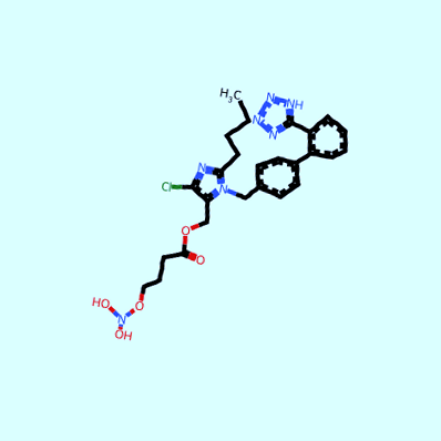 CCCCc1nc(Cl)c(COC(=O)CCCON(O)O)n1Cc1ccc(-c2ccccc2-c2nnn[nH]2)cc1